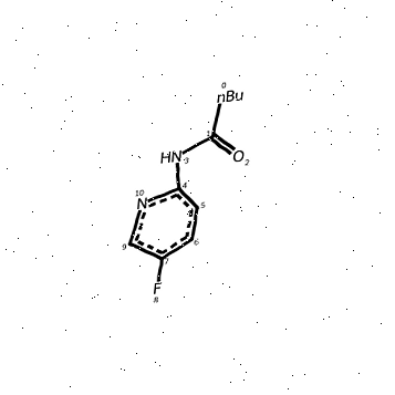 CCCCC(=O)Nc1ccc(F)cn1